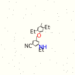 CCNc1cc(C#N)cc(COc2cc(CC)c(C)cc2CC)c1